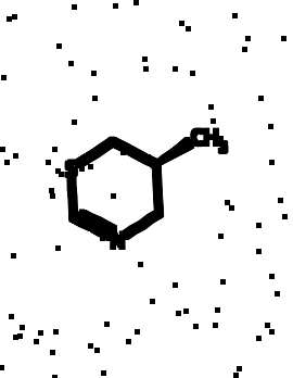 C[C@H]1CN=CSC1